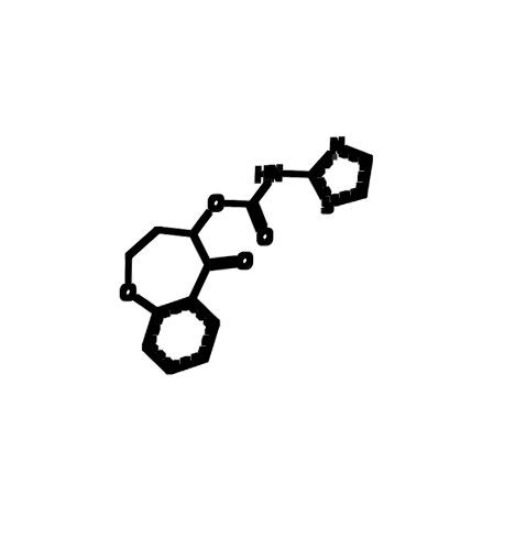 O=C(Nc1nccs1)OC1CCOc2ccccc2C1=O